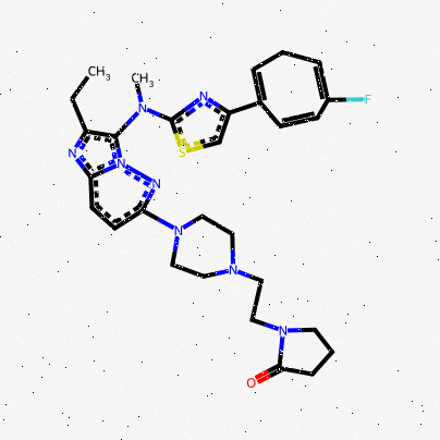 CCc1nc2ccc(N3CCN(CCN4CCCC4=O)CC3)nn2c1N(C)c1nc(C2=CCC=C(F)C=C2)cs1